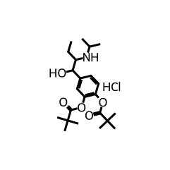 CCC(NC(C)C)C(O)c1ccc(OC(=O)C(C)(C)C)c(OC(=O)C(C)(C)C)c1.Cl